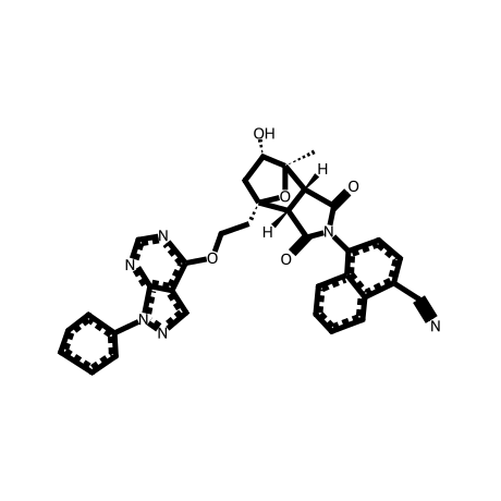 C[C@]12O[C@](CCOc3ncnc4c3cnn4-c3ccccc3)(C[C@@H]1O)[C@H]1C(=O)N(c3ccc(C#N)c4ccccc34)C(=O)[C@H]12